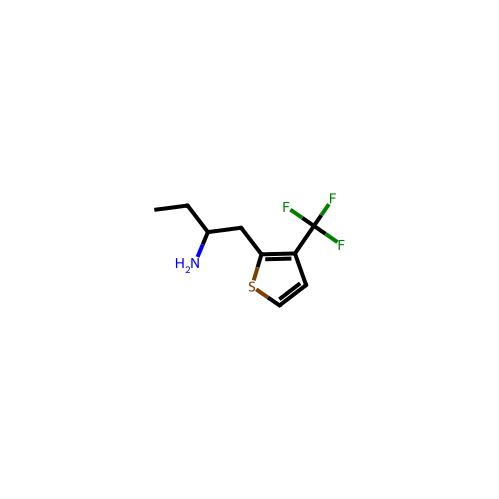 CCC(N)Cc1sccc1C(F)(F)F